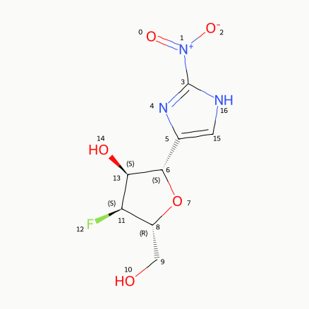 O=[N+]([O-])c1nc([C@@H]2O[C@H](CO)[C@@H](F)[C@H]2O)c[nH]1